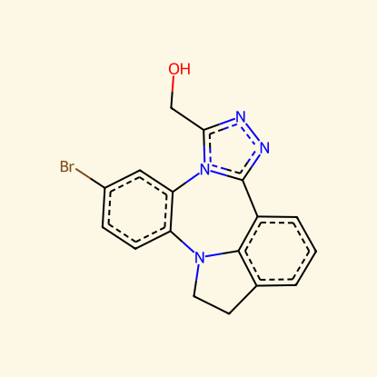 OCc1nnc2n1-c1cc(Br)ccc1N1CCc3cccc-2c31